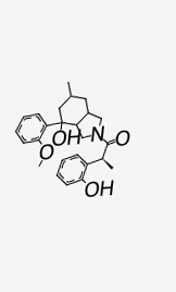 COc1ccccc1C1(O)CC(C)CC2CN(C(=O)[C@@H](C)c3ccccc3O)CC21